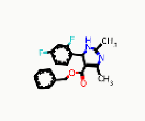 CC1=NC(C)=C(C(=O)OCc2ccccc2)C(c2ccc(F)cc2F)N1